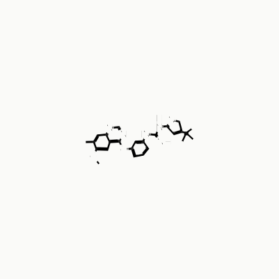 COc1cc2c(Oc3cccc(NC(=N)NC4=NCC(C(C)(C)C)=C4)c3)ncnc2cc1C